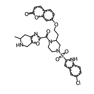 CC1Cc2nc(C(=O)N3CCN(S(=O)(=O)c4cc5cc(Cl)ccc5[nH]4)CC3CCOc3ccc4ccc(=O)oc4c3)oc2CN1